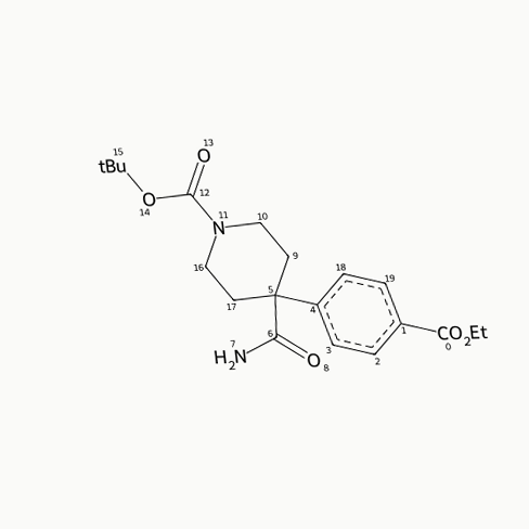 CCOC(=O)c1ccc(C2(C(N)=O)CCN(C(=O)OC(C)(C)C)CC2)cc1